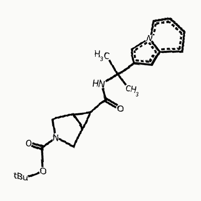 CC(C)(C)OC(=O)N1CC2C(C1)C2C(=O)NC(C)(C)c1cc2ccccn2c1